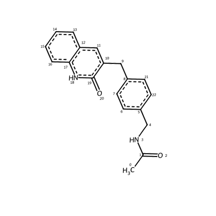 CC(=O)NCc1ccc(Cc2cc3ccccc3[nH]c2=O)cc1